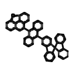 C1=CC2=C(CC1)c1ccccc1C21c2ccccc2-c2cc(-c3c4ccccc4c(-c4cc5cccc6oc7cccc4c7c56)c4ccccc34)ccc21